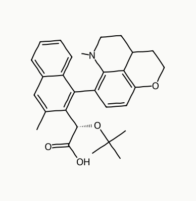 Cc1cc2ccccc2c(-c2ccc3c4c2N(C)CCC4CCO3)c1[C@H](OC(C)(C)C)C(=O)O